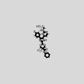 CC1(C(=O)NC2CCCCC2)COC(c2nc(-c3ccc(F)cc3)c(-c3ccnc(NCC(=O)O)n3)[nH]2)OC1